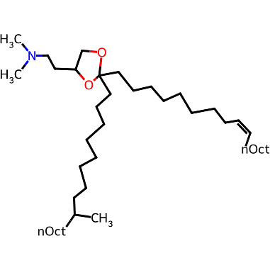 CCCCCCCC/C=C\CCCCCCCCC1(CCCCCCCCC(C)CCCCCCCC)OCC(CCN(C)C)O1